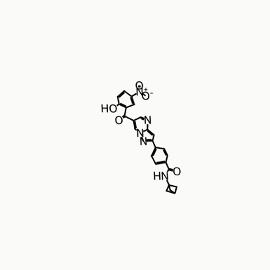 O=C(NC12CC(C1)C2)c1ccc(-c2cc3ncc(C(=O)c4cc([N+](=O)[O-])ccc4O)cn3n2)cc1